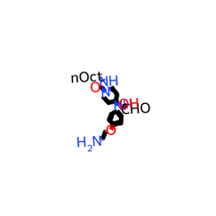 CCCCCCCCNC(=O)N1CCC(Nc2ccc(OCCN)cc2)CC1.O=CO